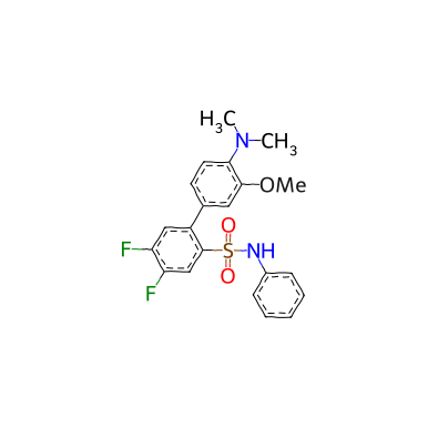 COc1cc(-c2cc(F)c(F)cc2S(=O)(=O)Nc2ccccc2)ccc1N(C)C